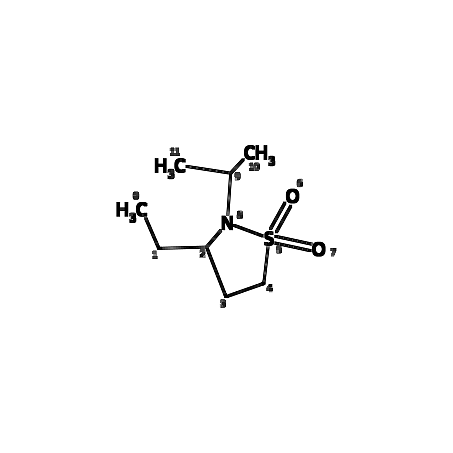 CCC1CCS(=O)(=O)N1C(C)C